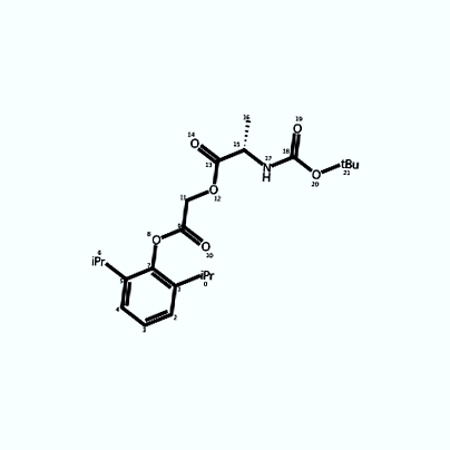 CC(C)c1cccc(C(C)C)c1OC(=O)COC(=O)[C@H](C)NC(=O)OC(C)(C)C